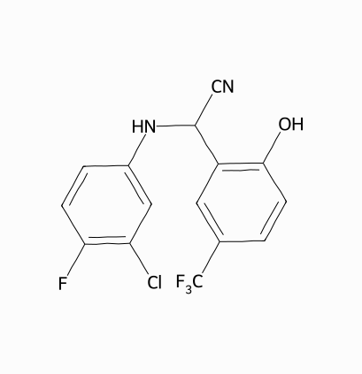 N#CC(Nc1ccc(F)c(Cl)c1)c1cc(C(F)(F)F)ccc1O